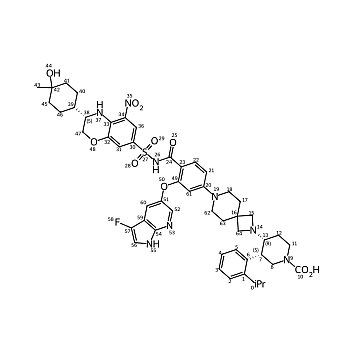 CC(C)c1ccccc1[C@H]1CN(C(=O)O)CC[C@H]1N1CC2(CCN(c3ccc(C(=O)NS(=O)(=O)c4cc5c(c([N+](=O)[O-])c4)N[C@@H](C4CCC(C)(O)CC4)CO5)c(Oc4cnc5[nH]cc(F)c5c4)c3)CC2)C1